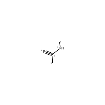 CNP(C)#P